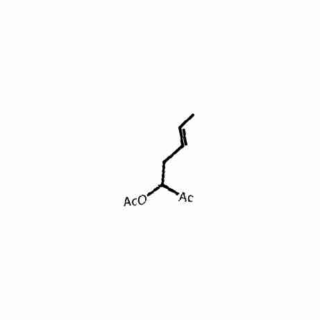 CC=CC[C](OC(C)=O)C(C)=O